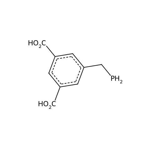 O=C(O)c1cc(CP)cc(C(=O)O)c1